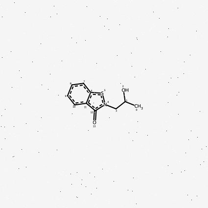 CC(O)Cn1sc2ccccc2c1=O